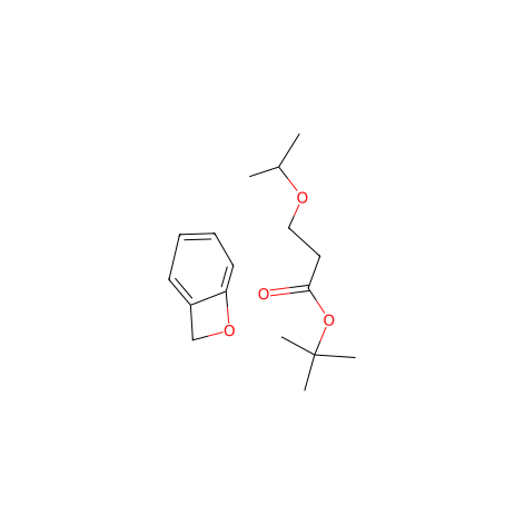 CC(C)OCCC(=O)OC(C)(C)C.c1ccc2c(c1)CO2